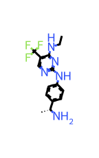 CCNc1nc(Nc2ccc([C@@H](C)N)cc2)ncc1C(F)(F)F